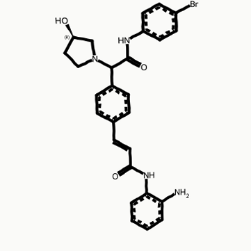 Nc1ccccc1NC(=O)C=Cc1ccc(C(C(=O)Nc2ccc(Br)cc2)N2CC[C@@H](O)C2)cc1